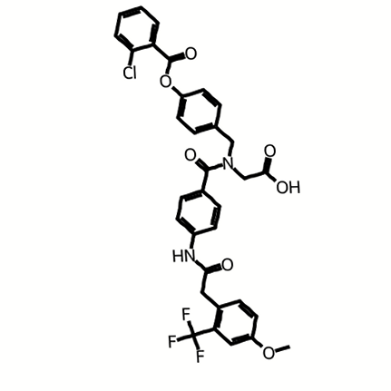 COc1ccc(CC(=O)Nc2ccc(C(=O)N(CC(=O)O)Cc3ccc(OC(=O)c4ccccc4Cl)cc3)cc2)c(C(F)(F)F)c1